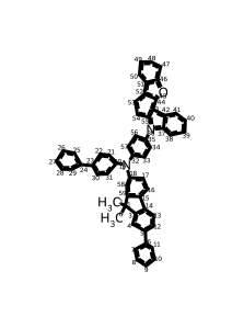 CC1(C)c2cc(-c3ccccc3)ccc2-c2ccc(N(c3ccc(-c4ccccc4)cc3)c3ccc(-n4c5ccccc5c5c6oc7ccccc7c6ccc54)cc3)cc21